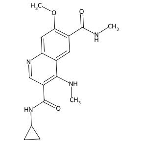 CNC(=O)c1cc2c(NC)c(C(=O)NC3CC3)cnc2cc1OC